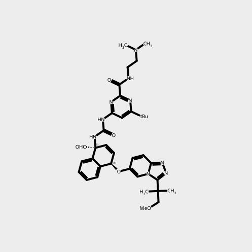 COCC(C)(C)c1nnc2ccc(O[C@@H]3C=C[C@](C=O)(NC(=O)Nc4cc(C(C)(C)C)nc(C(=O)NCCN(C)C)n4)c4ccccc43)cn12